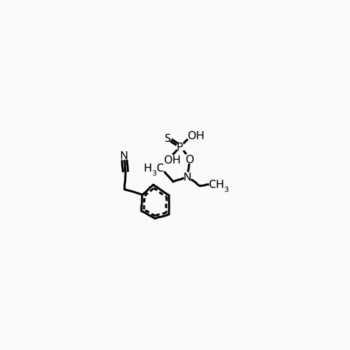 CCN(CC)OP(O)(O)=S.N#CCc1ccccc1